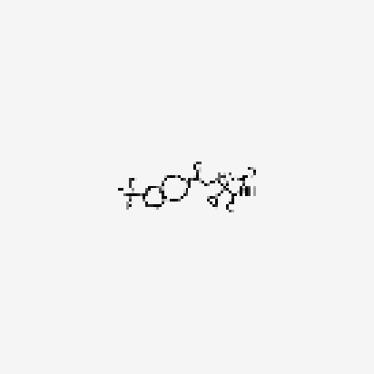 O=C1NC(=O)C(CCC(=O)N2CCc3ccc(C(F)(F)F)cc3CC2)(C2CC2)N1